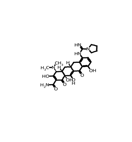 CN(C)[C@@H]1C(O)=C(C(N)=O)C(=O)[C@@]2(O)C(O)=C3C(=O)c4c(O)ccc(NC(=N)N5CCCC5)c4C[C@H]3C[C@@H]12